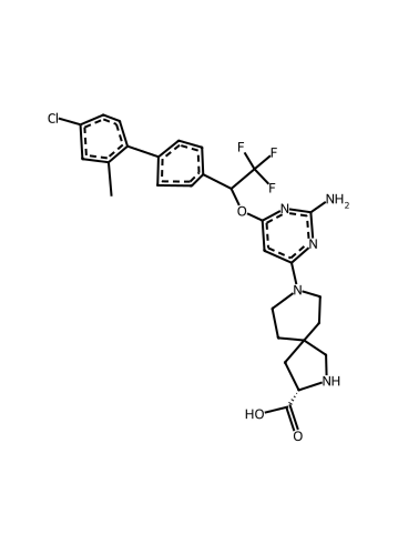 Cc1cc(Cl)ccc1-c1ccc(C(Oc2cc(N3CCC4(CC3)CN[C@H](C(=O)O)C4)nc(N)n2)C(F)(F)F)cc1